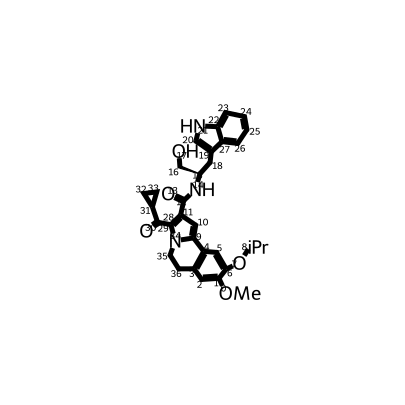 COc1cc2c(cc1OC(C)C)-c1cc(C(=O)N[C@@H](CO)Cc3c[nH]c4ccccc34)c(C(=O)C3CC3)n1CC2